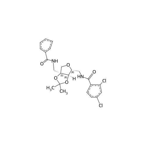 CC1(C)O[C@@H]2[C@@H](CNC(=O)c3ccc(Cl)cc3Cl)OC[C@]2(CNC(=O)c2ccccc2)O1